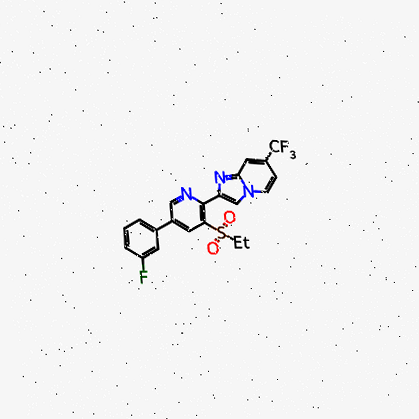 CCS(=O)(=O)c1cc(-c2cccc(F)c2)cnc1-c1cn2ccc(C(F)(F)F)cc2n1